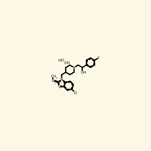 C/N=c1/sc2cc(Cl)ccc2n1CC1CCN(CC(O)c2ccc(F)cc2)CC1.Cl.Cl